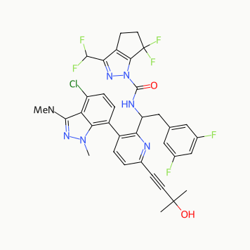 CNc1nn(C)c2c(-c3ccc(C#CC(C)(C)O)nc3C(Cc3cc(F)cc(F)c3)NC(=O)n3nc(C(F)F)c4c3C(F)(F)CC4)ccc(Cl)c12